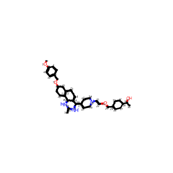 COc1ccc(COC2CCC3C(CCC4C(C5CCN(CCOCC6CCC(C(C)O)CC6)CC5)NC(C)NC34)C2)cc1